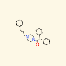 O=C(C(c1ccccc1)c1ccccc1)N1CCN(CC=Cc2ccccc2)CC1